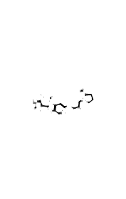 CCn1c(-c2nonc2N)nc2cnc(SC[C@@H](C)C(=O)N3CCC[C@H]3C(=O)O)cc21